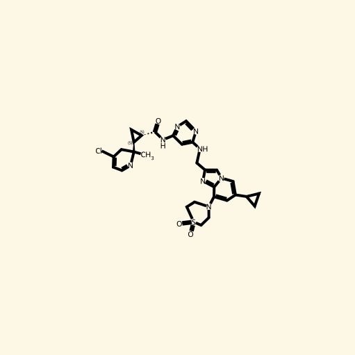 CC1([C@H]2C[C@@H]2C(=O)Nc2cc(NCc3cn4cc(C5CC5)cc(N5CCS(=O)(=O)CC5)c4n3)ncn2)CC(Cl)=CC=N1